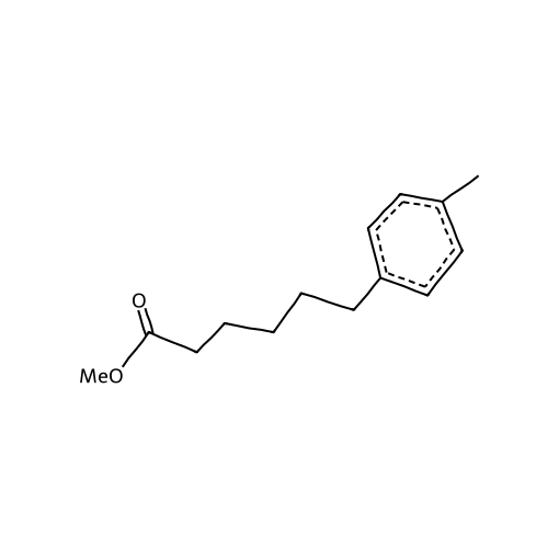 COC(=O)CCCCCc1ccc(C)cc1